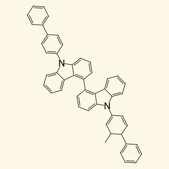 CC1C=C(n2c3ccccc3c3c(-c4cccc5c4c4ccccc4n5-c4ccc(-c5ccccc5)cc4)cccc32)C=CC1c1ccccc1